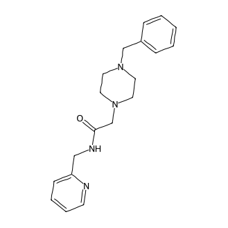 O=C(CN1CCN(Cc2ccccc2)CC1)NCc1ccccn1